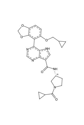 O=C(N[C@@H]1CCN(C(=O)C2CC2)C1)c1c[nH]c2c(-c3c(OCC4CC4)ccc4c3OCO4)ncnc12